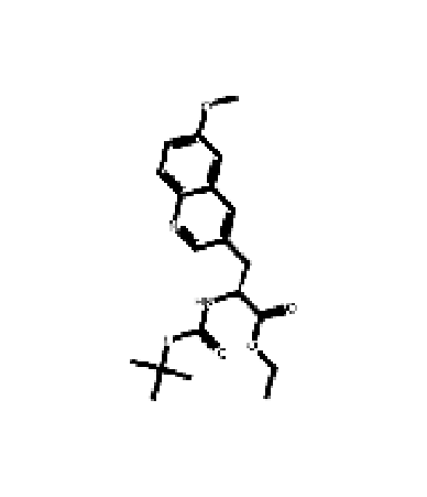 CCOC(=O)[C@H](Cc1cnc2ccc(OC)cc2c1)NC(=O)OC(C)(C)C